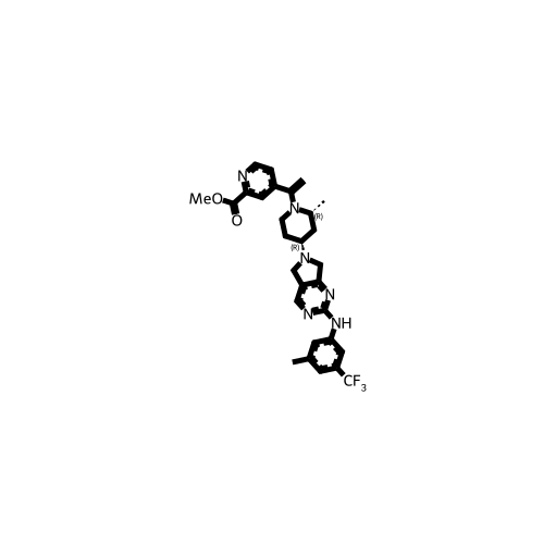 C=C(c1ccnc(C(=O)OC)c1)N1CC[C@@H](N2Cc3cnc(Nc4cc(C)cc(C(F)(F)F)c4)nc3C2)C[C@H]1C